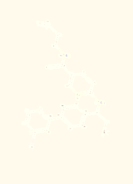 CC(C)CC(Nc1ccc(C(=O)NCCC(=O)O)cn1)c1ccc(-c2cccc(F)c2)cc1